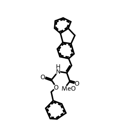 COC(=O)C(=Cc1ccc2c(c1)Cc1ccccc1-2)NC(=O)OCc1ccccc1